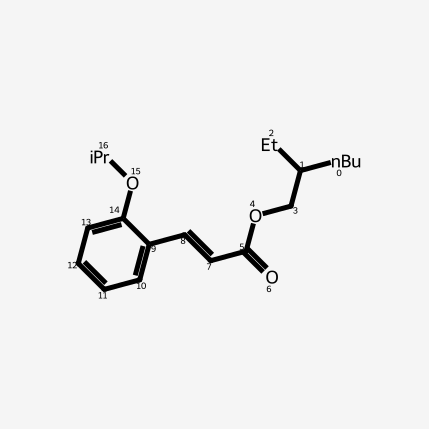 CCCCC(CC)COC(=O)C=Cc1ccccc1OC(C)C